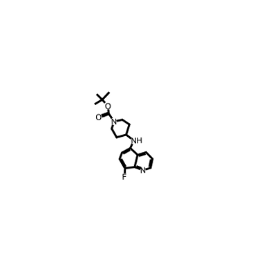 CC(C)(C)OC(=O)N1CCC(Nc2ccc(F)c3ncccc23)CC1